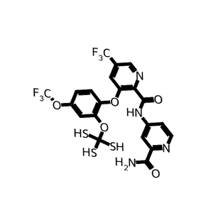 NC(=O)c1cc(NC(=O)c2ncc(C(F)(F)F)cc2Oc2ccc(OC(F)(F)F)cc2OC(S)(S)S)ccn1